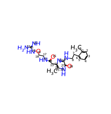 Cc1ccccc1CCNc1nc(CC(=O)NCCONC(=N)N)c(C)[nH]c1=O